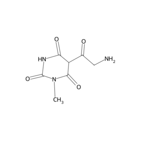 CN1C(=O)NC(=O)C(C(=O)CN)C1=O